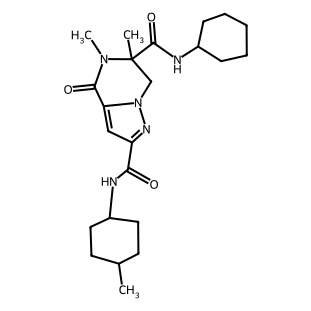 CC1CCC(NC(=O)c2cc3n(n2)CC(C)(C(=O)NC2CCCCC2)N(C)C3=O)CC1